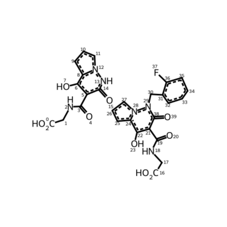 O=C(O)CNC(=O)c1c(O)c2cccn2[nH]c1=O.O=C(O)CNC(=O)c1c(O)c2cccn2n(Cc2ccccc2F)c1=O